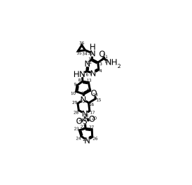 NC(=O)c1cnc(Nc2ccc3c(c2)OCC2CN(S(=O)(=O)c4ccncc4)CCN32)nc1NC1CC1